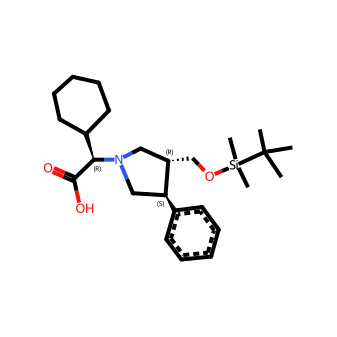 CC(C)(C)[Si](C)(C)OC[C@H]1CN([C@@H](C(=O)O)C2CCCCC2)C[C@@H]1c1ccccc1